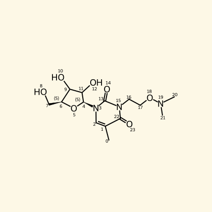 Cc1cn([C@H]2O[C@@H](CO)C(O)C2O)c(=O)n(CCON(C)C)c1=O